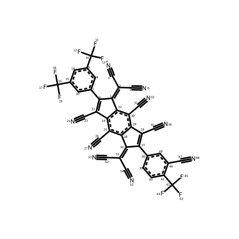 N#CC(C#N)=C1C(c2cc(C(F)(F)F)cc(C(F)(F)F)c2)=C(C#N)c2c(C#N)c3c(c(C#N)c21)C(C#N)=C(c1ccc(C(F)(F)F)c(C#N)c1)C3=C(C#N)C#N